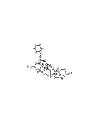 CC1=C2C[C@H]3C(CC[C@@H]4C[C@@H](O)CC[C@@]43C)[C@@H]2CC[C@]12O[C@@H]1C[C@H](C)CN(C(=O)OCc3ccccc3)[C@H]1[C@H]2C